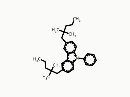 CCCC(C)(C)Cc1ccc2c(c1)c1cc(CC(C)(C)CCC)ccc1n2-c1ccccc1